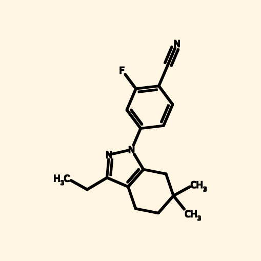 CCc1nn(-c2ccc(C#N)c(F)c2)c2c1CCC(C)(C)C2